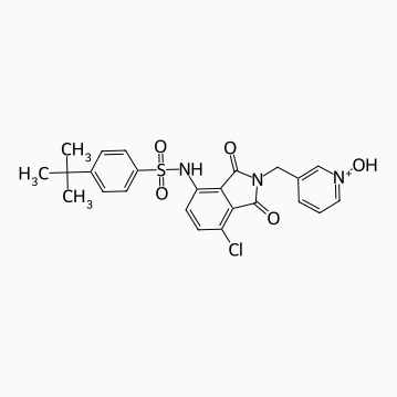 CC(C)(C)c1ccc(S(=O)(=O)Nc2ccc(Cl)c3c2C(=O)N(Cc2ccc[n+](O)c2)C3=O)cc1